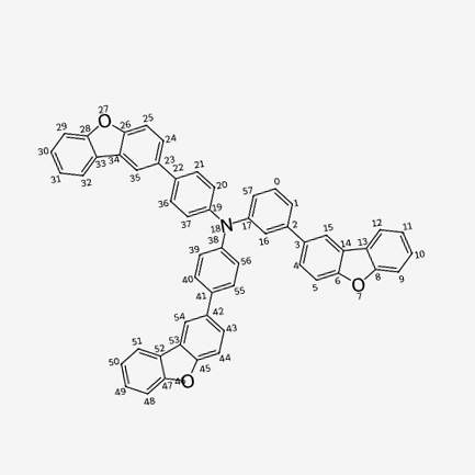 c1cc(-c2ccc3oc4ccccc4c3c2)cc(N(c2ccc(-c3ccc4oc5ccccc5c4c3)cc2)c2ccc(-c3ccc4oc5ccccc5c4c3)cc2)c1